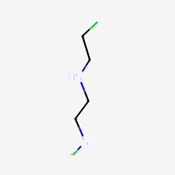 ClCCNCCNCl